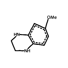 COc1ccc2c(c1)NCCN2